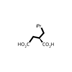 CC(C)C[C@H](CC(=O)O)C(=O)O